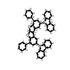 c1ccc(-c2cc(-n3c4ccccc4c4ccccc43)cc3c2oc2oc4c(-c5ccccc5)cc(-n5c6ccccc6c6ccccc65)cc4c23)cc1